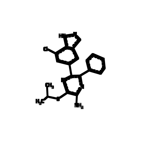 CC(C)Sc1nc(-c2cc(Cl)c3[nH]ncc3c2)c(-c2ccccc2)nc1N